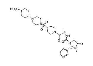 C[C@H](NC(=O)[C@H]1CC(=O)N(C)[C@@H]1c1cccnc1)C(=O)N1CCC(S(=O)(=O)N2CCN([C@H]3CC[C@H](C(=O)O)CC3)CC2)CC1